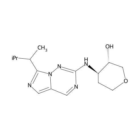 CC(C)C(C)c1ncc2cnc(N[C@@H]3CCOC[C@H]3O)nn12